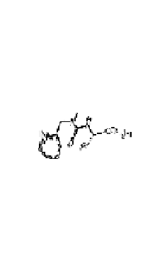 CC(C)[C@H](NC(=O)N(C)Cc1ccccn1)C(=O)O